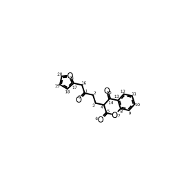 O=C(CCC1C(=O)Oc2ccccc2C1=O)Cc1ccco1